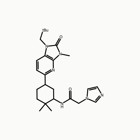 Cn1c(=O)n(CC(C)(C)C)c2ccc(C3CCC(C)(C)C(NC(=O)Cn4ccnc4)C3)nc21